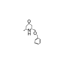 C[C@H]1CC(=O)C[C@@H](COCc2ccccc2)N1